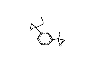 CCC1(c2cccc(C3(C)CO3)c2)CO1